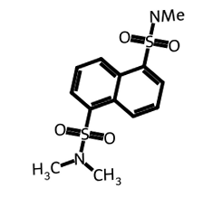 CNS(=O)(=O)c1cccc2c(S(=O)(=O)N(C)C)cccc12